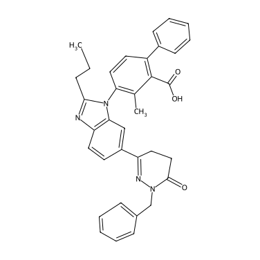 CCCc1nc2ccc(C3=NN(Cc4ccccc4)C(=O)CC3)cc2n1-c1ccc(-c2ccccc2)c(C(=O)O)c1C